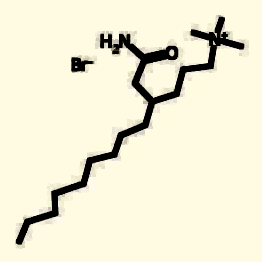 CCCCCCCCCC(CCC[N+](C)(C)C)CC(N)=O.[Br-]